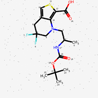 CC(CN1CC(F)(F)Cc2csc(C(=O)O)c21)NC(=O)OC(C)(C)C